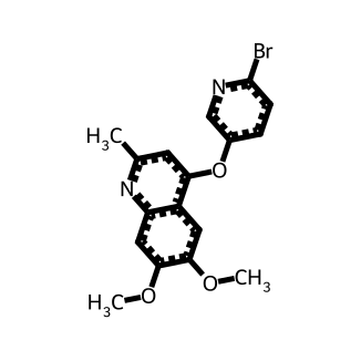 COc1cc2nc(C)cc(Oc3ccc(Br)nc3)c2cc1OC